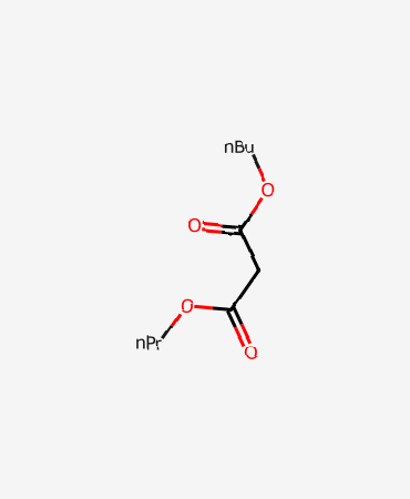 CCCCOC(=O)CC(=O)OCCC